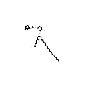 CCCCCCCCCCCCCCCCCCCCCCCCCCN[C@@H](CO[C@@H]1O[C@H](COC(=S)Nc2cccc(Cl)c2)[C@H](O)[C@H](O)[C@H]1O)[C@H](O)[C@H](O)CCCCCCCCCCCCCC